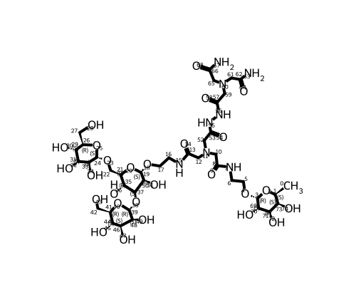 C[C@@H]1O[C@@H](OCCNC(=O)CN(CC(=O)NCCO[C@H]2O[C@H](CO[C@H]3O[C@H](CO)[C@@H](O)[C@H](O)[C@@H]3O)[C@@H](O)[C@H](O[C@H]3O[C@H](CO)[C@@H](O)[C@H](O)[C@@H]3O)[C@@H]2O)CC(=O)NNC(=O)CN(CC(N)=O)CC(N)=O)[C@@H](O)[C@H](O)[C@@H]1O